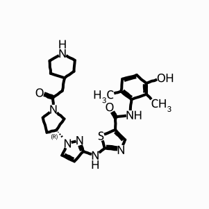 Cc1ccc(O)c(C)c1NC(=O)c1cnc(Nc2ccn([C@@H]3CCN(C(=O)CC4CCNCC4)C3)n2)s1